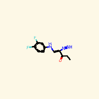 CCC(=O)/C(=C/Nc1ccc(F)c(F)c1)N=N